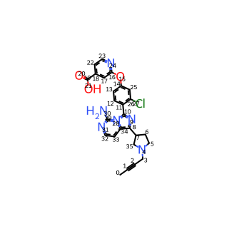 CC#CCN1CCC(c2nc(-c3ccc(Oc4cc(C(=O)O)ccn4)cc3Cl)n3c(N)nccc23)C1